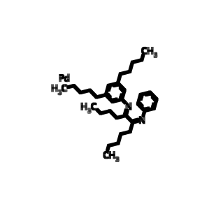 CCCCCC(=Nc1ccccc1)C(CCCC)=Nc1cc(CCCCC)cc(CCCCC)c1.[Pd]